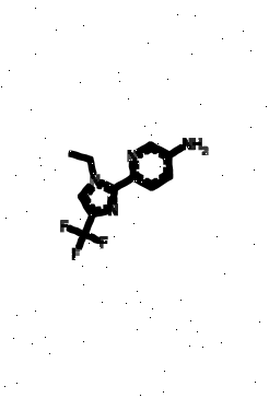 CCn1cc(C(F)(F)F)nc1-c1ccc(N)cn1